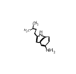 CC(C)CCc1cc2cc(N)ccc2[nH]1